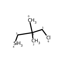 CC(C)(C[SiH3])CCl